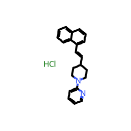 C(=CC1CCN(c2ccccn2)CC1)c1cccc2ccccc12.Cl